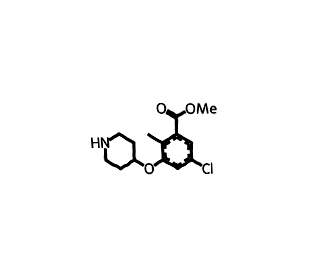 COC(=O)c1cc(Cl)cc(OC2CCNCC2)c1C